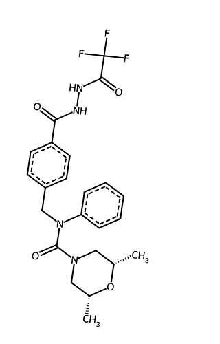 C[C@@H]1CN(C(=O)N(Cc2ccc(C(=O)NNC(=O)C(F)(F)F)cc2)c2ccccc2)C[C@H](C)O1